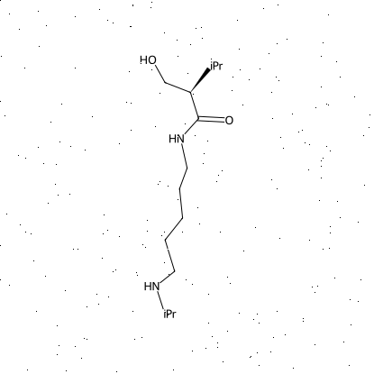 CC(C)NCCCCCNC(=O)[C@@H](CO)C(C)C